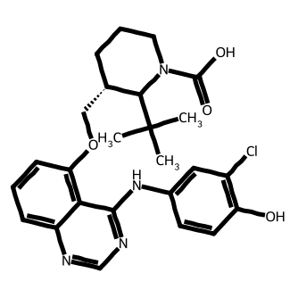 CC(C)(C)C1[C@H](COc2cccc3ncnc(Nc4ccc(O)c(Cl)c4)c23)CCCN1C(=O)O